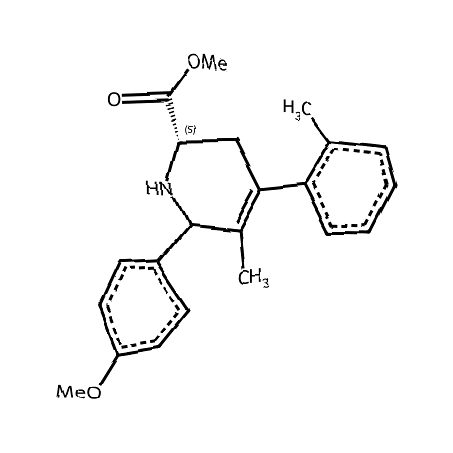 COC(=O)[C@@H]1CC(c2ccccc2C)=C(C)C(c2ccc(OC)cc2)N1